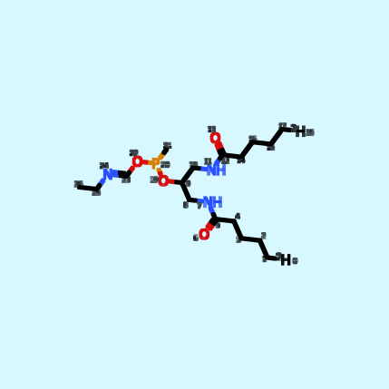 [2H]CCCCC(=O)NCC(CNC(=O)CCCC[2H])OP(C)O/C=N/CC